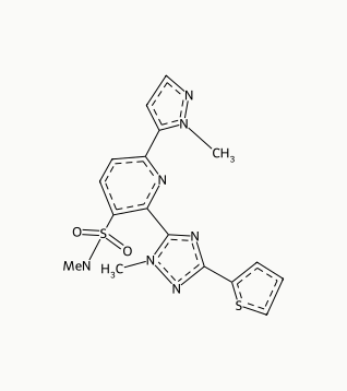 CNS(=O)(=O)c1ccc(-c2ccnn2C)nc1-c1nc(-c2cccs2)nn1C